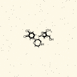 Cc1nn(C[C@@H]2CNCCO[C@H]2c2ccc(Cl)c(Cl)c2)cc1CO